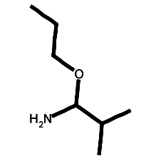 CCCOC(N)C(C)C